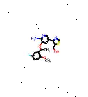 COc1ccc(F)cc1C(C)Oc1cc(-c2ncsc2CO)cnc1N